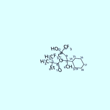 CCC(C)(C)C(=O)OC(C)(CC(O)(C(F)(F)F)C(F)(F)F)C1CCCCC1